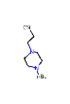 [C-]#[N+]CCN1CCN(CCCC)CC1